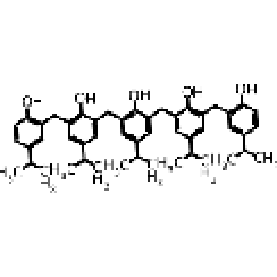 CC(C)c1ccc(O)c(Cc2cc(C(C)C)cc(Cc3cc(C(C)C)cc(Cc4cc(C(C)C)cc(Cc5cc(C(C)C)ccc5O)c4O)c3O)c2O)c1